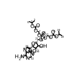 CC(C)OC(=O)OCOP(=O)(OCOC(=O)OC(C)C)OC[C@H]1O[C@@H](c2cnc3c(N)ncnn23)[C@](C)(O)[C@@H]1O